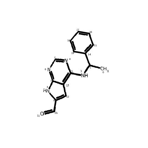 CC(Nc1ncnc2[nH]c(C=O)cc12)c1ccccc1